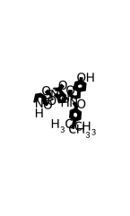 CC(C)(C)c1ccc(C(=O)NC(Cc2ccc(O)cc2)C(=O)N2CCC3C2C(=O)CN3S(=O)(=O)c2ccc[nH]c2=O)cc1